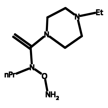 C=C(N1CCN(CC)CC1)N(CCC)ON